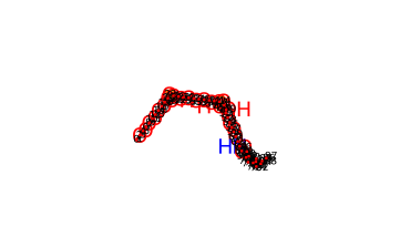 C=COCCOCCOCCOCCOCCOCCOP(=O)(O)OCCOCCOCCOCCOCCOCCOP(=O)(O)OCC(O)COCCOCCOCCOCCCNC(=O)O[C@H]1CC[C@@]2(C)C(=CCC3C4CCC([C@H](C)CCCC(C)C)[C@@]4(C)CCC32)C1